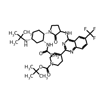 CC(=O)N[C@@H]1C[C@H](NC(C)(C)C)CC[C@@H]1N1CCC(Nc2nc(C3=CCN(C(=O)OC(C)(C)C)CC3)nc3ccc(C(F)(F)F)cc23)C1=O